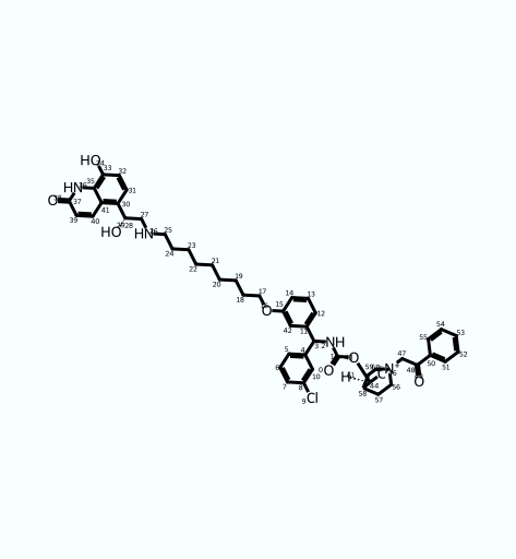 O=C(NC(c1cccc(Cl)c1)c1cccc(OCCCCCCCCCNC[C@H](O)c2ccc(O)c3[nH]c(=O)ccc23)c1)O[C@H]1C[N+]2(CC(=O)c3ccccc3)CCC1CC2